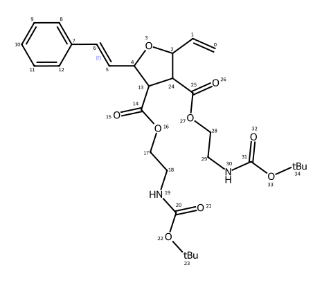 C=CC1OC(/C=C/c2ccccc2)C(C(=O)OCCNC(=O)OC(C)(C)C)C1C(=O)OCCNC(=O)OC(C)(C)C